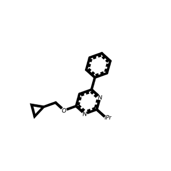 CC(C)c1nc(OCC2CC2)cc(-c2ccccc2)n1